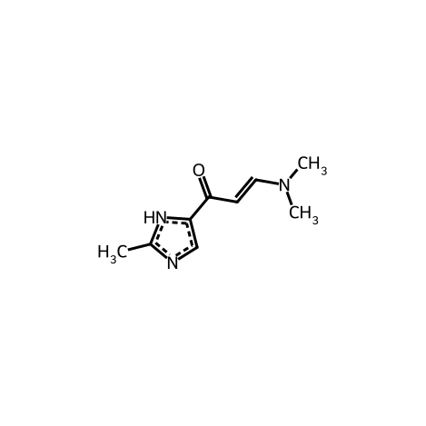 Cc1ncc(C(=O)C=CN(C)C)[nH]1